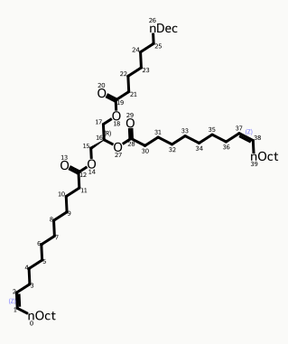 CCCCCCCC/C=C\CCCCCCCCCC(=O)OC[C@@H](COC(=O)CCCCCCCCCCCCCCC)OC(=O)CCCCCCC/C=C\CCCCCCCC